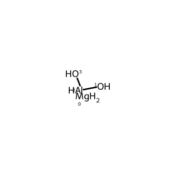 [MgH2].[OH][AlH][OH]